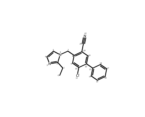 CCc1nccn1Cc1cc(Cl)c(-c2ccccc2)cc1C#N